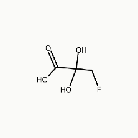 O=C(O)C(O)(O)CF